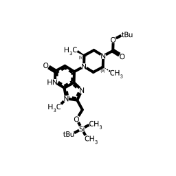 C[C@@H]1CN(c2cc(=O)[nH]c3c2nc(CO[Si](C)(C)C(C)(C)C)n3C)[C@@H](C)CN1C(=O)OC(C)(C)C